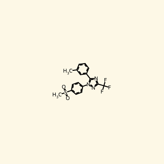 Cc1cccc(-c2nc(C(F)(F)F)nn2-c2ccc(S(C)(=O)=O)cc2)c1